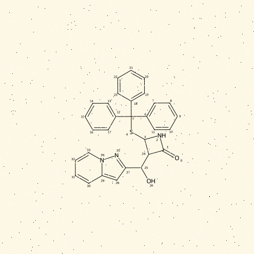 O=C1NC(SC(c2ccccc2)(c2ccccc2)c2ccccc2)C1C(O)c1cc2ccccn2n1